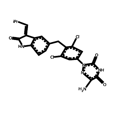 CC(C)/C=C1\C(=O)Nc2ccc(Cc3c(Cl)cc(-n4nc(N)c(=O)[nH]c4=O)cc3Cl)cc21